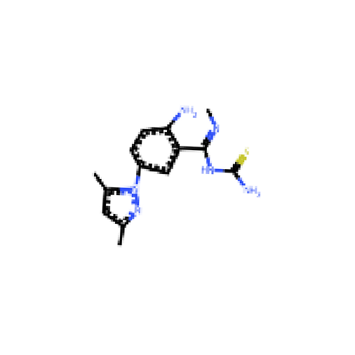 C/N=C(/NC(N)=S)c1cc(-n2nc(C)cc2C)ccc1N